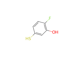 Oc1cc(S)ccc1F